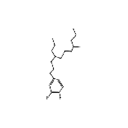 CCCC(C)CCCC(CCC)CCCc1ccc(F)c(F)c1